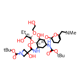 CC[C@@H](O)[C@H](OCCO)O[C@@H]1[C@@H](O)[C@H](O[C@@H]2CCC=C(CNC)O2)[C@@H](NC(=O)OC(C)(C)C)C[C@H]1NC(=O)C1(O)CN(C(=O)OC(C)(C)C)C1